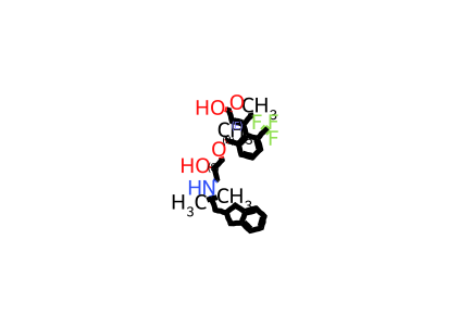 CC/C(=C\C(=O)O)c1c([C@@H](C)OC[C@@H](O)CNC(C)(C)CC2Cc3ccccc3C2)cccc1C(F)(F)F